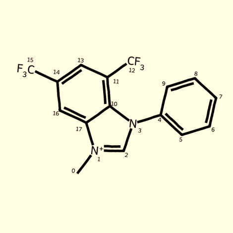 C[n+]1cn(-c2ccccc2)c2c(C(F)(F)F)cc(C(F)(F)F)cc21